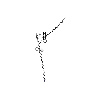 C/C=C/CCCCCCCCCCCCCCCNC(=O)CCN(CCCN)CCC(=O)NCCCCCCCCCCCCCCCC